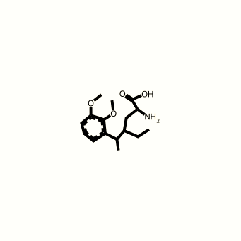 CCC(CC(N)C(=O)O)C(C)c1cccc(OC)c1OC